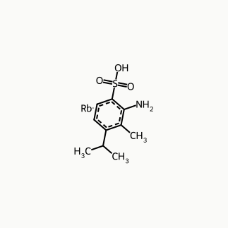 Cc1c(C(C)C)ccc(S(=O)(=O)O)c1N.[Rb]